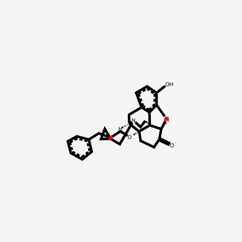 O=C1CC[C@@]2(OCCCc3ccccc3)[C@H]3Cc4ccc(O)c5c4[C@@]2(CCN3CC2CC2)[C@@H]1O5